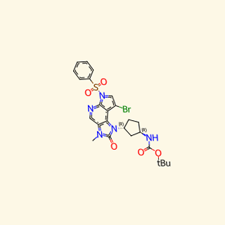 Cn1c(=O)n([C@@H]2CC[C@@H](NC(=O)OC(C)(C)C)C2)c2c3c(Br)cn(S(=O)(=O)c4ccccc4)c3ncc21